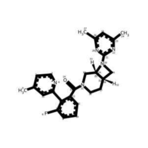 Cc1ccnc(-c2c(F)cccc2C(=O)N2CC[C@H]3CN(c4nc(C)cc(C)n4)[C@H]3C2)c1